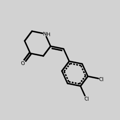 O=C1CCNC(=Cc2ccc(Cl)c(Cl)c2)C1